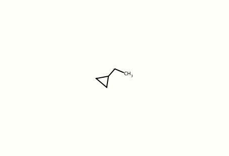 C[CH]C1CC1